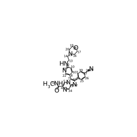 CNC(=O)c1cn2c(-c3ccc(NCCN4CCOCC4)nc3)c(-c3ccc(C#N)cc3)nc2cn1